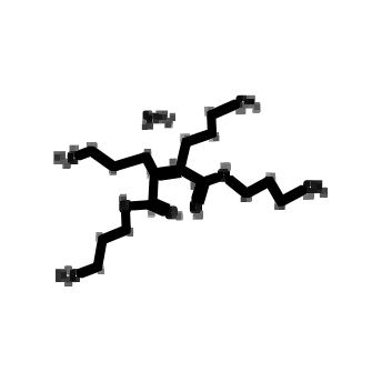 CCCCOC(=O)/C(CCCC)=C(/CCCC)C(=O)OCCCC.[SnH2]